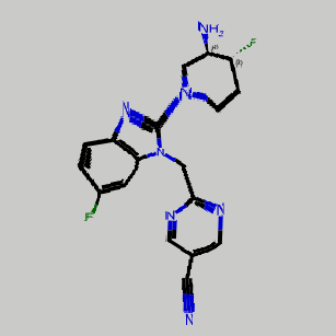 N#Cc1cnc(Cn2c(N3CC[C@@H](F)[C@H](N)C3)nc3ccc(F)cc32)nc1